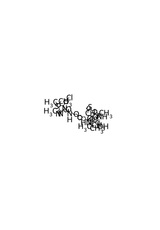 CC1=NN=C2C1c1sc(C)c(C)c1C(c1ccc(Cl)cc1)=N[C@H]2CC(=O)NCCOc1ccc2c(c1)CC(C(=O)N[C@H](C(=O)C1CC(O)=C[C@H]1C(=O)N[C@@H](C)c1ccc(-c3sccc3C)cc1)C(C)(C)C)C2